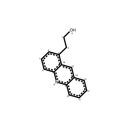 OCCc1cccc2nc3ccccc3cc12